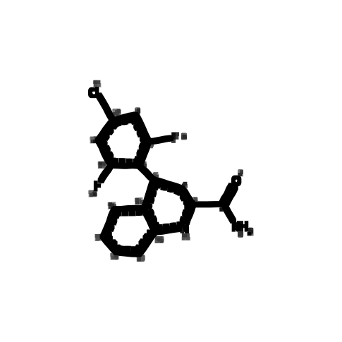 NC(=O)c1cc(-c2c(F)cc(Cl)cc2F)c2ccccc2n1